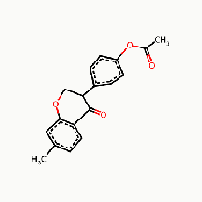 CC(=O)Oc1ccc(C2COc3cc(C)ccc3C2=O)cc1